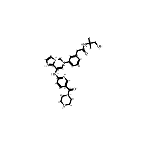 CC(C)(CO)NC(=O)Cc1cccc(N2C=C(Nc3ccc(C(=O)N4CCOCC4)cn3)C3=NC=C[N+]3C2)c1